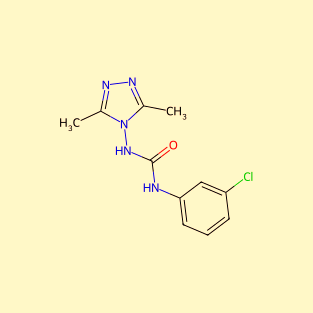 Cc1nnc(C)n1NC(=O)Nc1cccc(Cl)c1